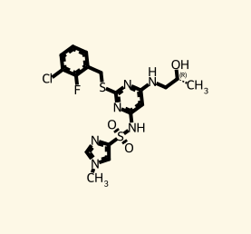 C[C@@H](O)CNc1cc(NS(=O)(=O)c2cn(C)cn2)nc(SCc2cccc(Cl)c2F)n1